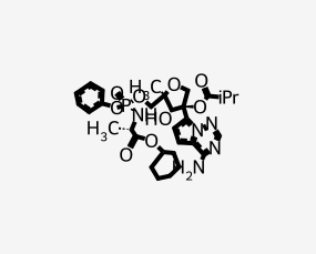 CC(C)C(=O)O[C@]1(c2ccc3c(N)ncnn23)CO[C@](C)(CO[P@@](=O)(N[C@@H](C)C(=O)OC2CCCCC2)Oc2ccccc2)[C@H]1O